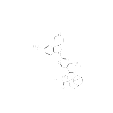 Cc1ccc2c(c1)C1(CCNCC1)CN2c1ncc(C(=O)NC2(C(N)=O)C3CC4CC(C3)CC2C4)c(C(F)(F)F)n1